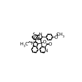 CCn1c(C)c(C2(c3c(-c4ccc(OC)cc4)nc4sccn34)OC(=O)c3ncccc32)c2ccccc21